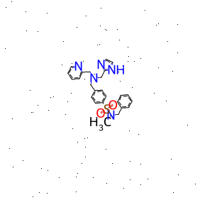 CN(Cc1ccccc1)S(=O)(=O)c1ccc(CN(Cc2ccccn2)Cc2ncc[nH]2)cc1